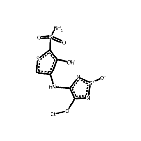 CCOc1n[s+]([O-])nc1Nc1csc(S(N)(=O)=O)c1O